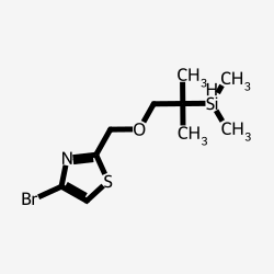 C[SiH](C)C(C)(C)COCc1nc(Br)cs1